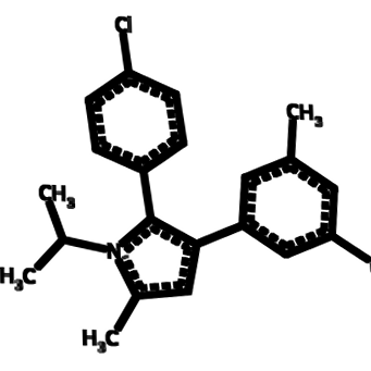 Cc1cc(F)cc(-c2cc(C)n(C(C)C)c2-c2ccc(Cl)cc2)c1